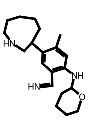 Cc1cc(NC2CCCCO2)c(C=N)cc1C1CCCCCNC1